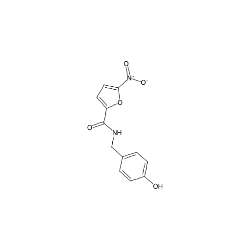 O=C(NCc1ccc(O)cc1)c1ccc([N+](=O)[O-])o1